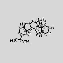 CC(C)N1CC[C@H]2CC(CC(C)N3CC[C@@H]4CCNC[C@@H]43)N[C@H]2C1